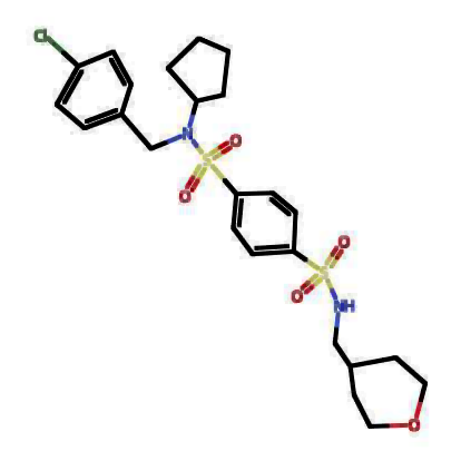 O=S(=O)(NCC1CCOCC1)c1ccc(S(=O)(=O)N(Cc2ccc(Cl)cc2)C2CCCC2)cc1